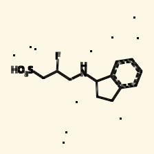 O=S(=O)(O)CC(F)CNC1CCc2ccccc21